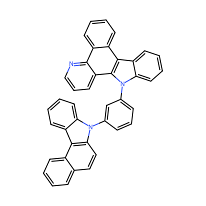 c1cc(-n2c3ccccc3c3c4ccccc4ccc32)cc(-n2c3ccccc3c3c4ccccc4c4ncccc4c32)c1